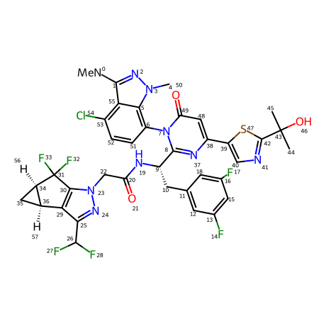 CNc1nn(C)c2c(-n3c([C@H](Cc4cc(F)cc(F)c4)NC(=O)Cn4nc(C(F)F)c5c4C(F)(F)[C@@H]4C[C@H]54)nc(-c4cnc(C(C)(C)O)s4)cc3=O)ccc(Cl)c12